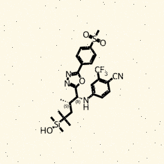 C[C@@H](CC(C)(C)[Si](C)(C)O)[C@@H](Nc1ccc(C#N)c(C(F)(F)F)c1)c1nnc(-c2ccc(S(C)(=O)=O)cc2)o1